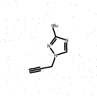 C#CCn1cnc(C(C)(C)C)n1